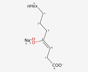 CCCCCCCCCC(O)=CCC(=O)[O-].[Na+]